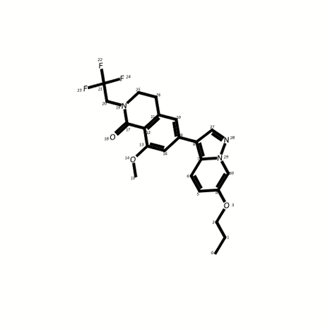 CCCOc1ccc2c(-c3cc4c(c(OC)c3)C(=O)N(CC(F)(F)F)CC4)cnn2c1